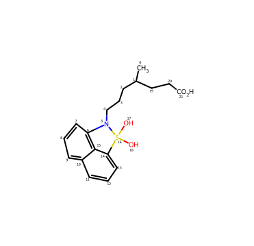 CC(CCCN1c2cccc3cccc(c23)S1(O)O)CCC(=O)O